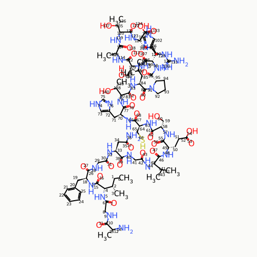 CC[C@H](C)[C@H](NC(=O)CNC(=O)[C@H](C)N)C(=O)N[C@@H](Cc1ccccc1)C(=O)NCC(=O)N[C@@H](CC(N)=O)C(=O)NCC(=O)N[C@H](C(=O)N[C@@H](CCC(=O)O)C(=O)N[C@@H](CO)C(=O)N[C@@H](CS)C(=O)N[C@@H](Cc1c[nH]cn1)C(=O)N[C@H](C(=O)N[C@@H](CC(C)C)C(=O)N1CCC[C@H]1C(=O)N[C@@H](Cc1c[nH]cn1)C(=O)N[C@@H](CO)C(=O)N[C@@H](C)C(=O)N[C@H](C(=O)N[C@@H](CCCNC(=N)N)C(=O)O)[C@@H](C)O)[C@@H](C)O)C(C)C